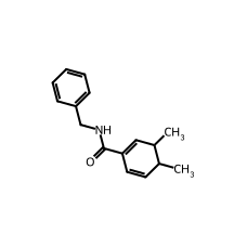 CC1C=CC(C(=O)NCc2ccccc2)=CC1C